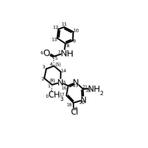 C[C@@H]1CC[C@H](C(=O)Nc2ccccc2)CN1c1cc(Cl)nc(N)n1